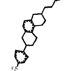 C=CCCC1CCc2c(ccc3c2CCC(c2ccc(C(F)(F)F)cc2)C3)C1